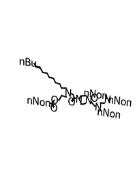 CCCCC=CCCCCCCCCN(CCCOC(=O)CCCCCCCCC)CC(=O)N1CCN(C(=O)CN(CCCCCCCCC)CCN(CCCCCCCCC)CCCCCCCCC)CC1